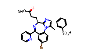 COC(=O)CC[C@@H]1N=C(c2ccccn2)c2cc(Br)ccc2-n2c(C)cnc21.O=S(=O)(O)c1ccccc1